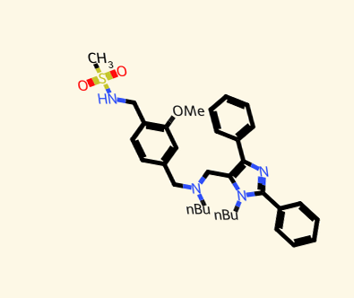 CCCCN(Cc1ccc(CNS(C)(=O)=O)c(OC)c1)Cc1c(-c2ccccc2)nc(-c2ccccc2)n1CCCC